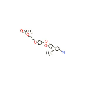 CC1c2cc(C#N)ccc2-c2ccc(OC(=O)c3ccc(OCCCCOCC4(C)COC4)cc3)cc21